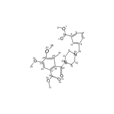 COC(=O)c1cccc(CN2CCN(C(=O)c3c(C(=O)OC)cc(OC)c(OC)c3C)CC2)c1